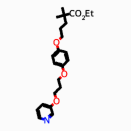 CCOC(=O)C(C)(C)CCCOc1ccc(OCCCOc2cccnc2)cc1